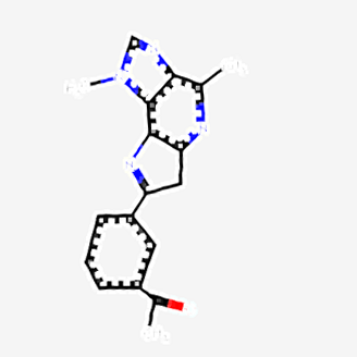 CC(=O)c1cccc(C2=Nc3c(nc(C)c4ncn(C)c34)C2)c1